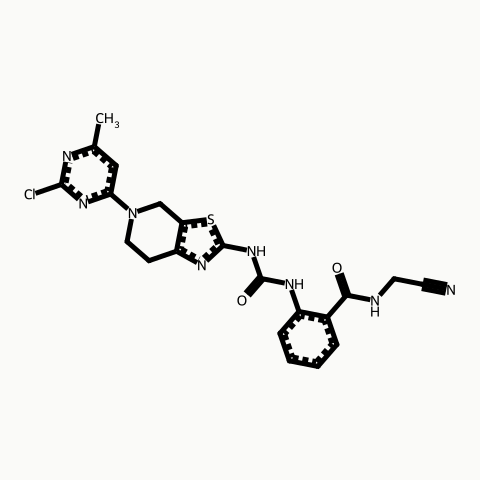 Cc1cc(N2CCc3nc(NC(=O)Nc4ccccc4C(=O)NCC#N)sc3C2)nc(Cl)n1